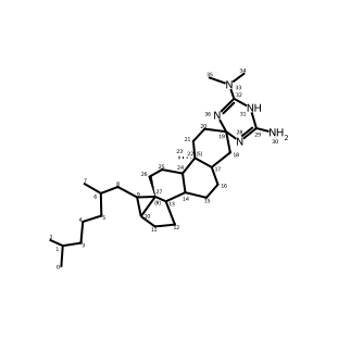 CC(C)CCCC(C)CC1C2CCC3C4CCC5CC6(CC[C@]5(C)C4CC[C@@]321)N=C(N)NC(N(C)C)=N6